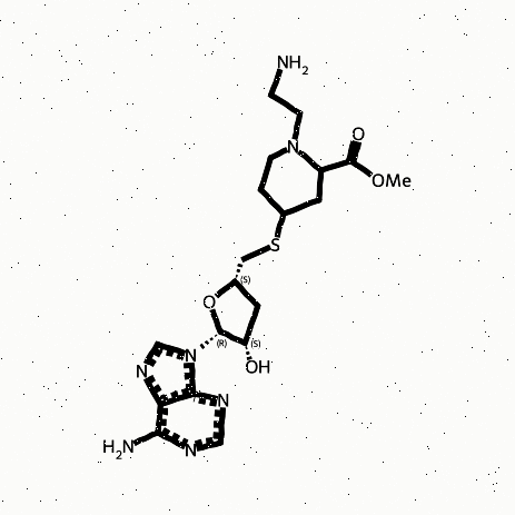 COC(=O)C1CC(SC[C@@H]2C[C@H](O)[C@H](n3cnc4c(N)ncnc43)O2)CCN1CCN